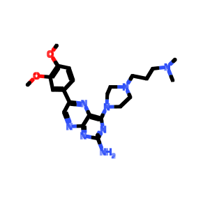 COc1ccc(-c2cnc3nc(N)nc(N4CCN(CCCN(C)C)CC4)c3n2)cc1OC